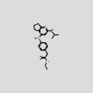 CCOC(=O)Cc1ccc(Nc2cc(OC(C)C)nc3c2CCC3)cc1